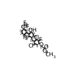 CCOC(=O)COc1cc(Cl)c(Cc2ccc(O)c(-c3cc(OC(F)F)ccc3F)c2F)c(Cl)c1F